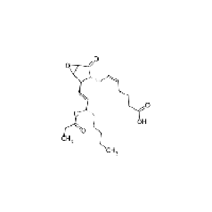 CCCCC[C@@H](/C=C/[C@H]1C2OC2C(=O)[C@@H]1C/C=C\CCCC(=O)O)OC(=O)CC